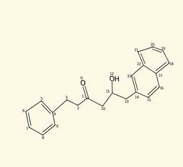 O=C(CCc1ccccc1)CC(O)Cc1ccc2ccccc2c1